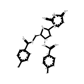 Cc1ccc(C(=O)OC[C@H]2OC(n3ccc(=O)[nH]c3=O)C[C@@H]2OC(=O)c2ccc(C)cc2)cc1